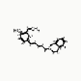 C=Cc1nc(CCCCCN2CCc3ccccc3C2)ccc1O